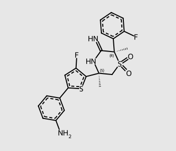 C[C@@]1(c2ccccc2F)C(=N)N[C@](C)(c2sc(-c3cccc(N)c3)cc2F)CS1(=O)=O